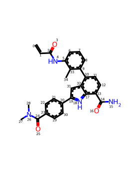 C=CC(=O)Nc1cccc(-c2ccc(C(N)=O)c3[nH]c(-c4ccc(C(=O)N(C)C)cc4)cc23)c1C